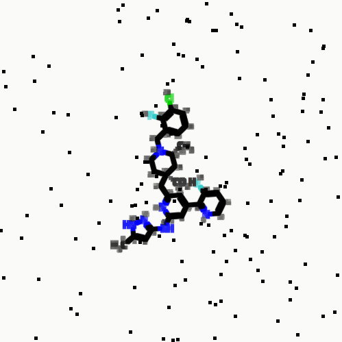 Cc1cc(Nc2cc(-c3ncccc3F)cc(C[C@@]3(C(=O)O)CCN(Cc4cccc(Cl)c4F)[C@H](C)C3)n2)n[nH]1